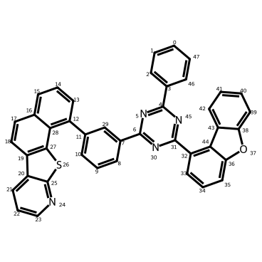 c1ccc(-c2nc(-c3cccc(-c4cccc5ccc6c7cccnc7sc6c45)c3)nc(-c3cccc4oc5ccccc5c34)n2)cc1